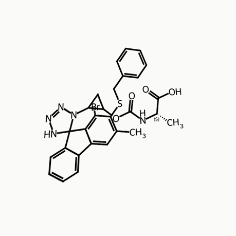 Cc1cc2c(c(Br)c1SCc1ccccc1)C1(NN=NN1C1CC1OC(=O)N[C@@H](C)C(=O)O)c1ccccc1-2